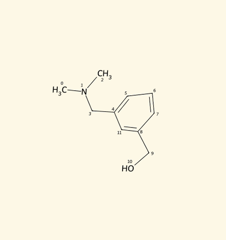 CN(C)Cc1cccc(CO)c1